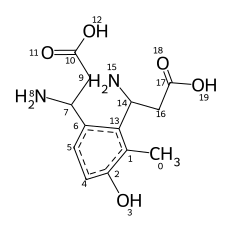 Cc1c(O)ccc(C(N)CC(=O)O)c1C(N)CC(=O)O